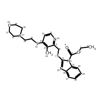 CCOC(=O)n1c(SCc2nccc(SCCN3CCOCC3)c2C)nc2ccccc21